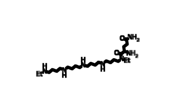 CCNCCCCNCCCCNCCCCNCCCCN(CC)C(=O)C(N)CCC(N)=O